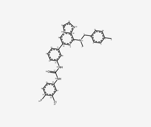 Cc1ccc(CN(C)c2nc(-c3cccc(NC(=O)Nc4ccc(F)c(Cl)c4)c3)cn3ccnc23)cc1